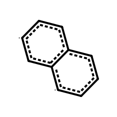 [c]1ccc2ccc[c]c2c1